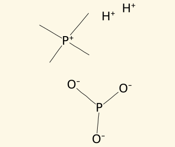 C[P+](C)(C)C.[H+].[H+].[O-]P([O-])[O-]